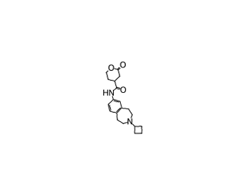 O=C1CC(C(=O)Nc2ccc3c(c2)CCN(C2CCC2)CC3)CCO1